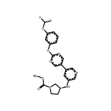 CC(C)(C)OC(=O)N1CC[C@H](Nc2cncc(-c3cnc(Oc4cccc(OC(F)F)c4)nc3)c2)C1